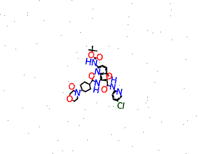 CC(C)(C)OC(=O)Nc1ccc2oc(C(=O)Nc3ccc(Cl)cn3)c(NC(=O)[C@H]3CC[C@H](N4CCOCC4=O)CC3)c2n1